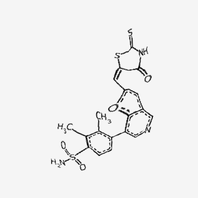 Cc1c(-c2cncc3cc(/C=C4/SC(=S)NC4=O)oc23)ccc(S(N)(=O)=O)c1C